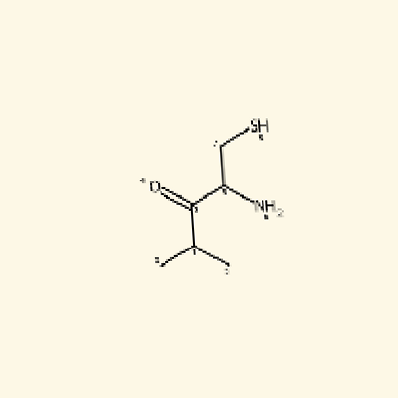 CC(C)C(=O)C(N)CS